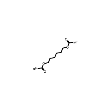 CCCC(=O)OCCCCCCOC(=O)CCC